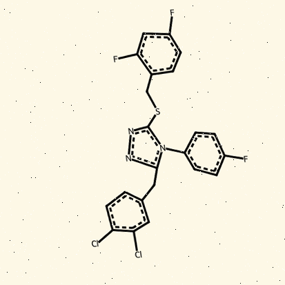 Fc1ccc(-n2c(Cc3ccc(Cl)c(Cl)c3)nnc2SCc2ccc(F)cc2F)cc1